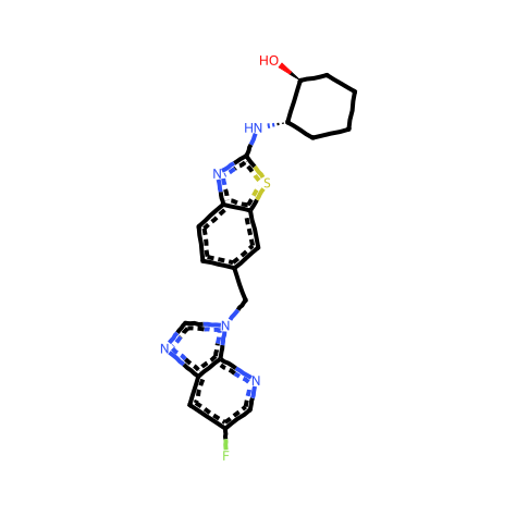 O[C@H]1CCCC[C@@H]1Nc1nc2ccc(Cn3cnc4cc(F)cnc43)cc2s1